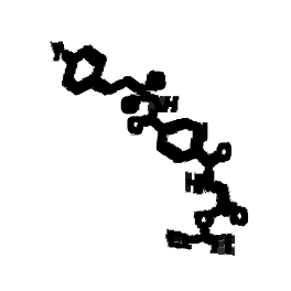 CCC(CC)OC(=O)CNC(=O)c1ccc(C(=O)NS(=O)(=O)CCc2ccc(F)cc2)cn1